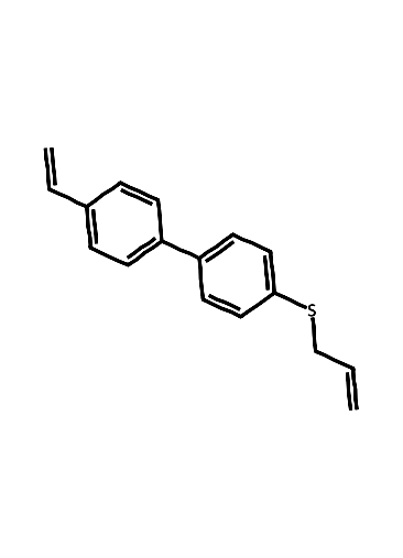 C=CCSc1ccc(-c2ccc(C=C)cc2)cc1